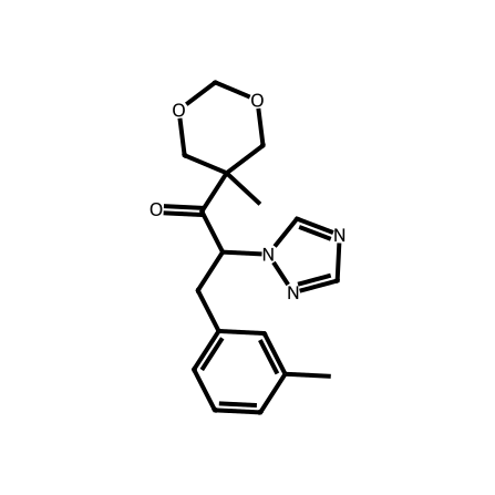 Cc1cccc(CC(C(=O)C2(C)COCOC2)n2cncn2)c1